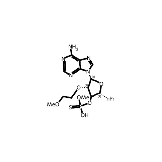 CCC[C@H]1O[C@@H](n2cnc3c(N)ncnc32)[C@@H](OCCOC)C1OP(O)(=S)OC